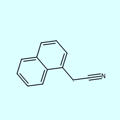 N#C[CH]c1cccc2ccccc12